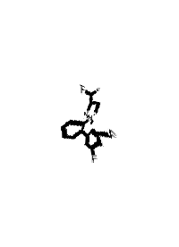 C[N+]1(c2ccccc2-c2cc(F)cc(F)c2)C=CC(C(F)F)=N1